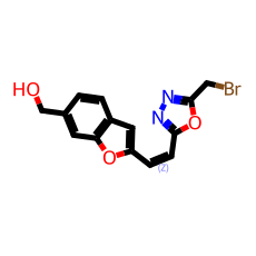 OCc1ccc2cc(/C=C\c3nnc(CBr)o3)oc2c1